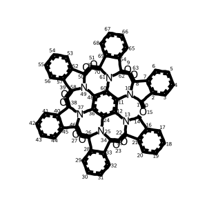 C=C1c2ccccc2C(=O)N1c1c(N2C(=O)c3ccccc3C2=O)c(N2C(=O)c3ccccc3C2=O)c(N2C(=O)c3ccccc3C2=O)c(N2C(=O)c3ccccc3C2=O)c1N1C(=O)c2ccccc2C1=O